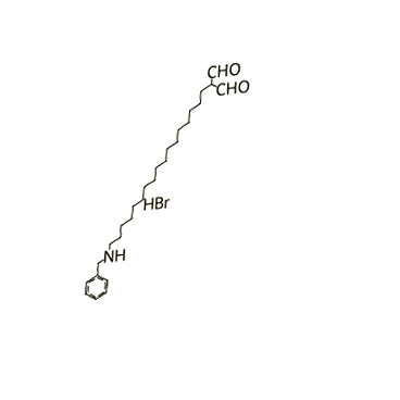 Br.O=CC(C=O)CCCCCCCCCCCCCCCCCNCc1ccccc1